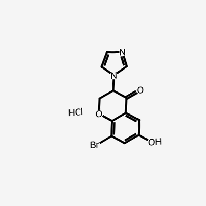 Cl.O=C1c2cc(O)cc(Br)c2OCC1n1ccnc1